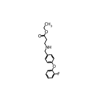 CCOC(=O)CCNCc1ccc(Oc2ccccc2F)cc1